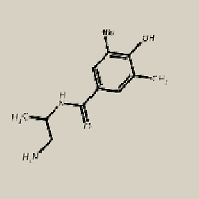 Cc1cc(C(=O)NC(C)CN)cc(C(C)(C)C)c1O